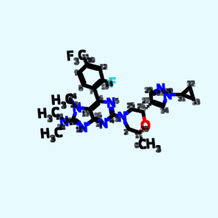 C[C@@H]1CN(c2nc(-c3ccc(C(F)(F)F)cc3F)c3c(n2)nc(N(C)C)n3C)C[C@H](c2cnn(C3CC3)c2)O1